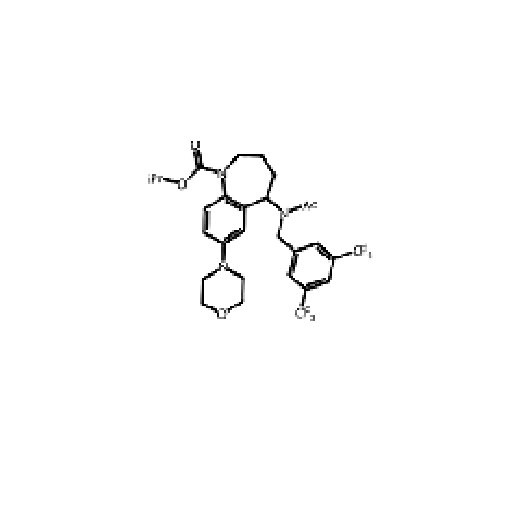 CC(=O)N(Cc1cc(C(F)(F)F)cc(C(F)(F)F)c1)C1CCCN(C(=O)OC(C)C)c2ccc(N3CCOCC3)cc21